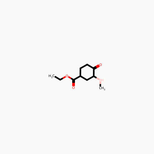 CBC1CC(C(=O)OCC)CCC1=O